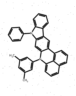 Cc1cc(C)cc(N2c3cc4c(cc3-c3cccc5cccc2c35)c2ccccc2n4-c2ccccc2)c1